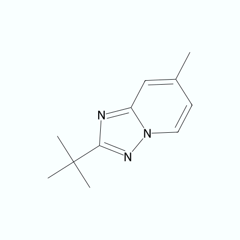 Cc1ccn2nc(C(C)(C)C)nc2c1